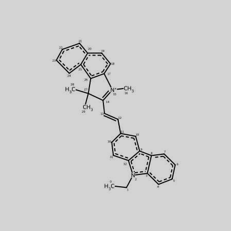 CCn1c2ccccc2c2cc(/C=C/C3=[N+](C)c4ccc5ccccc5c4C3(C)C)ccc21